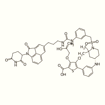 C=C(O)COc1c(C(=O)O)sc(-c2cccc(N[C@H]3CCN(S(=O)(=O)Cc4cccc(NC(=O)NCCCc5cc6c7c(cccc7c5)N(C5CCC(=O)NC5=O)C6=O)c4)C(C)(C)C3)c2)c1Cl